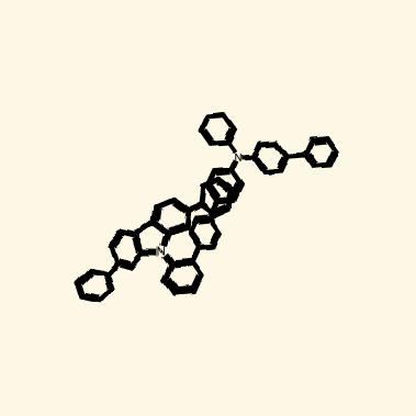 C1=C=CC(n2c3cc(-c4ccccc4)ccc3c3ccc(C4C=CC=CC4)cc32)=C(c2ccc(-c3ccc(N(C4=CCCC=C4)C4=CC=C(c5ccccc5)CC4)cc3)cc2)C=1